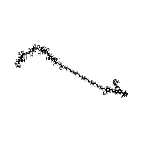 Cc1noc(C)c1-c1ccc2c(c1)nc(CCc1ccc(OCCOCCOCCOCCOCCOCCOCCOCCOCCNC(=O)CCNC(=O)c3nc(NC(=O)CCNC(=O)c4cc(NC(=O)c5nc(NC(=O)CCNC(=O)c6cc(NC(=O)c7nccn7C)cn6C)cn5C)cn4C)cn3C)c(Cl)c1)n2C[C@H](C)N1CCOCC1